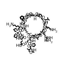 CSCC[C@H](NC(=O)[C@@H]1CCCN1C(=O)[C@@H](NC(C)=O)C(C)C)C(=O)NC1CCSSC[C@@H](C(=O)NC(CCCCN)C(=O)N2CCC[C@H]2C(=O)N2CCC[C@H]2C(=O)N[C@@H](CCC(=O)O)C(N)=O)NC(=O)[C@H](Cc2ccccc2)NC(=O)[C@H](CO)NC(=O)C(C)NC(=O)[C@@H]2CCCN2C(=O)[C@H](CCC(C)C)NC(=O)[C@H](CCCCN)NC(=O)[C@H](CCCNC(=N)N)NC(=O)[C@H](CC(C)C)NC1=O